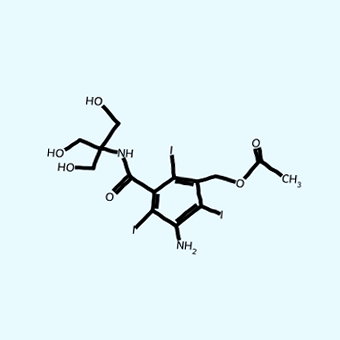 CC(=O)OCc1c(I)c(N)c(I)c(C(=O)NC(CO)(CO)CO)c1I